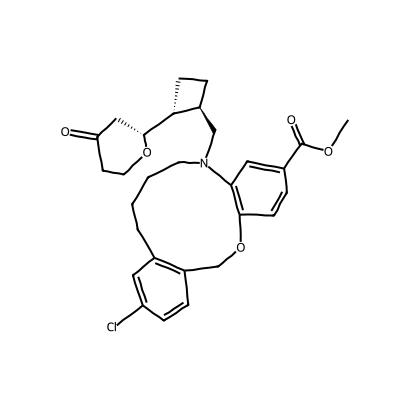 COC(=O)c1ccc2c(c1)N(C[C@@H]1CC[C@H]1[C@H]1CC(=O)CCO1)CCCCc1cc(Cl)ccc1CO2